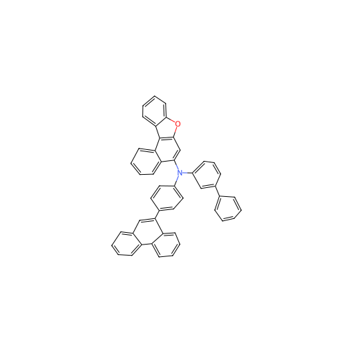 c1ccc(-c2cccc(N(c3ccc(-c4cc5ccccc5c5ccccc45)cc3)c3cc4oc5ccccc5c4c4ccccc34)c2)cc1